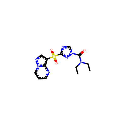 CCN(CC)C(=O)n1cnc(S(=O)(=O)c2cnn3cccnc23)n1